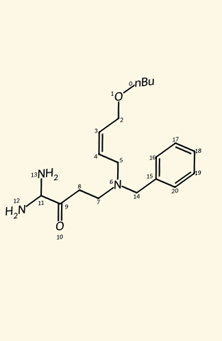 CCCCOC/C=C\CN(CCC(=O)C(N)N)Cc1ccccc1